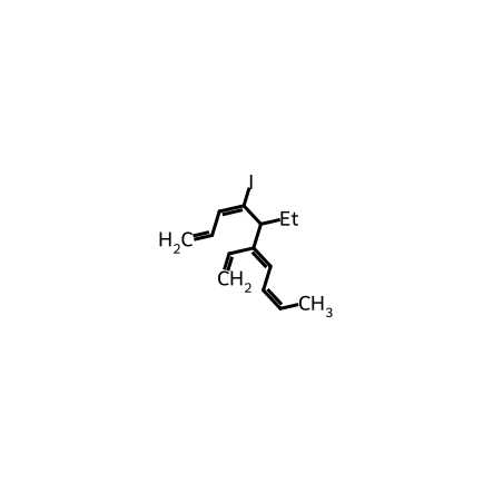 C=C/C=C(/I)C(CC)/C(C=C)=C/C=C\C